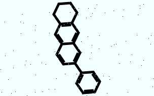 c1ccc(-c2ccc3cc4c(cc3c2)CCCC4)cc1